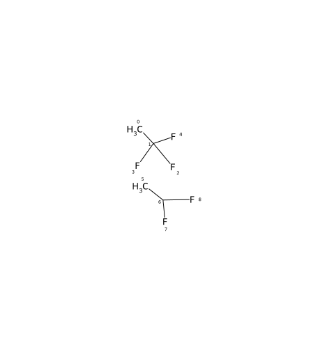 CC(F)(F)F.CC(F)F